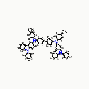 N#Cc1ccc(N(C2=CC3c4ccccc4N(c4ccccc4)C3C=C2)c2ccc(-c3ccc(N(c4ccc(C#N)cc4)c4ccc5c(c4)c4ccccc4n5-c4ccccc4)cc3)cc2)cc1